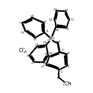 N#CCc1ccc(C[P+](c2ccccc2)(c2ccccc2)c2ccccc2)cc1.[Cl-]